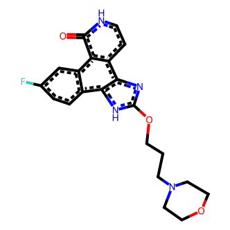 O=c1[nH]ccc2c3nc(OCCCN4CCOCC4)[nH]c3c3ccc(F)cc3c12